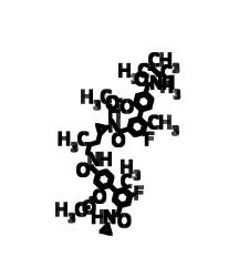 COCOc1cc(C(=O)NCC(C)CC2CC2NC(=O)c2cc(F)c(C)c(-c3ccc(C(=O)NC(C)C(C)C)cc3OCOC)c2)ccc1-c1cc(C(=O)NC2CC2)cc(F)c1C